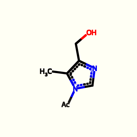 CC(=O)n1cnc(CO)c1C